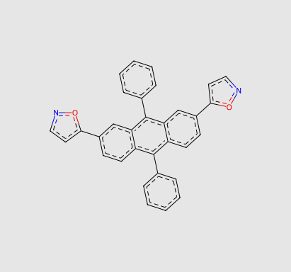 c1ccc(-c2c3ccc(-c4ccno4)cc3c(-c3ccccc3)c3cc(-c4ccno4)ccc23)cc1